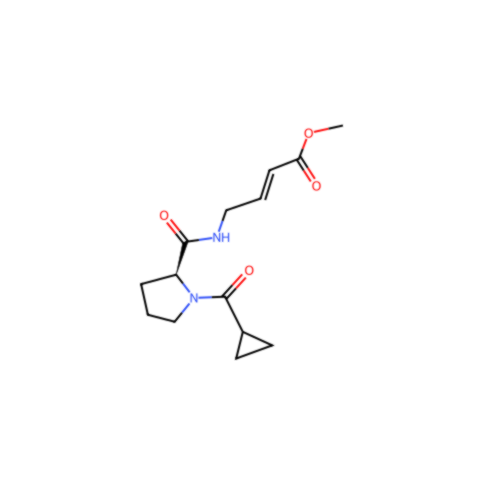 COC(=O)/C=C/CNC(=O)[C@@H]1CCCN1C(=O)C1CC1